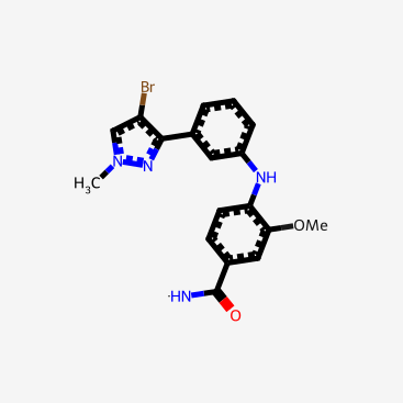 COc1cc(C([NH])=O)ccc1Nc1cccc(-c2nn(C)cc2Br)c1